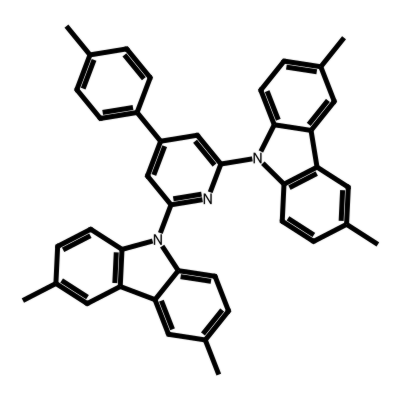 Cc1ccc(-c2cc(-n3c4ccc(C)cc4c4cc(C)ccc43)nc(-n3c4ccc(C)cc4c4cc(C)ccc43)c2)cc1